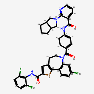 O=C(Nc1c(F)cccc1F)c1cc2c(s1)-c1ccc(F)cc1N(C(=O)C1=CC=C(NC(=O)c3cccnc3N3CC4CCCC4C3)CC1)CC2